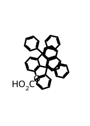 O=C(O)Oc1cccc(C(c2ccccc2)(c2ccccc2)c2ccccc2)c1C(c1ccccc1)(c1ccccc1)c1ccccc1